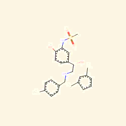 COc1ccc([C@@H](Cc2cccc(C(F)(F)F)c2)NC[C@@H](O)c2ccc(O)c(NS(C)(=O)=O)c2)cc1